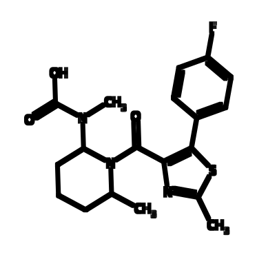 Cc1nc(C(=O)N2C(C)CCCC2N(C)C(=O)O)c(-c2ccc(F)cc2)s1